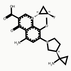 COc1c(N2CC[C@@H](C3(N)CC3)C2)cc(N)c2c(=O)c(C(=O)O)cn([C@@H]3C[C@H]3F)c12